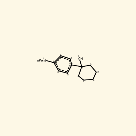 CCCCCc1ccc(C2(C#N)CCCCC2)cc1